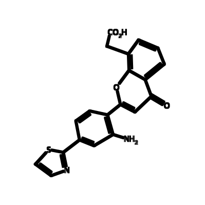 Nc1cc(-c2nccs2)ccc1-c1cc(=O)c2cccc(CC(=O)O)c2o1